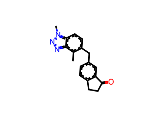 Cc1c(Cc2ccc3c(c2)C(=O)CC3)ccc2c1nnn2C